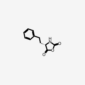 O=C1N[C@@H](CCc2ccccc2)C(=O)O1